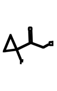 O=C(CCl)C1(F)CC1